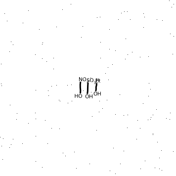 CCO.O=S(=O)(O)O.O=[N+]([O-])O